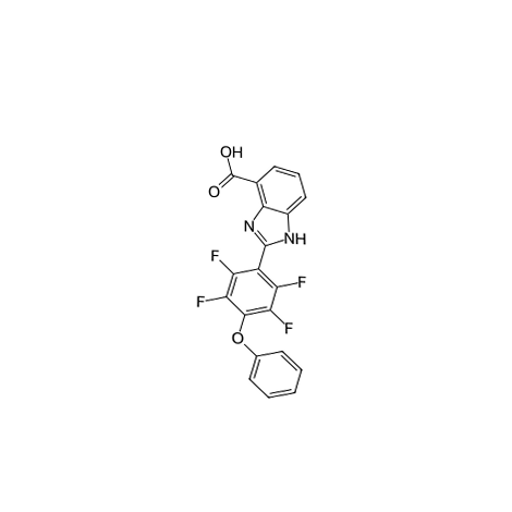 O=C(O)c1cccc2[nH]c(-c3c(F)c(F)c(Oc4ccccc4)c(F)c3F)nc12